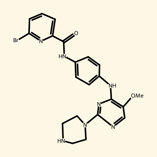 COc1cnc(N2CCNCC2)nc1Nc1ccc(NC(=O)c2cccc(Br)n2)cc1